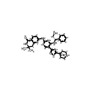 CC1(C)Cc2nc(Nc3ncc(-c4nc(C56CCN(CC5)CC6)no4)c(N[C@H](CO)c4ccccc4)n3)ccc2C(=O)N1